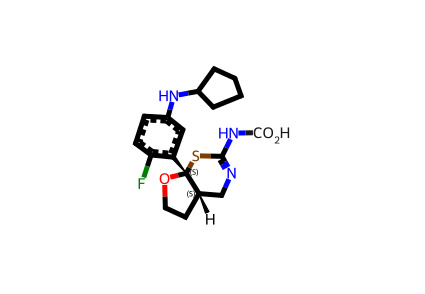 O=C(O)NC1=NC[C@@H]2CCO[C@]2(c2cc(NC3CCCC3)ccc2F)S1